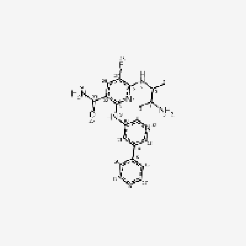 CC(N)C(C)Nc1nc(Nc2cncc(-c3ccccc3)c2)c(C(N)=O)cc1F